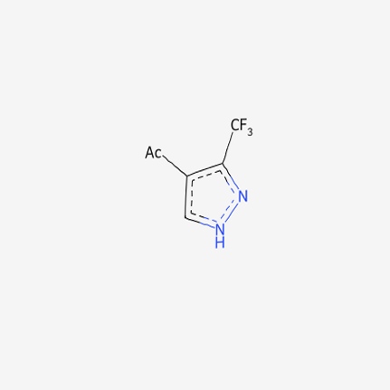 CC(=O)c1c[nH]nc1C(F)(F)F